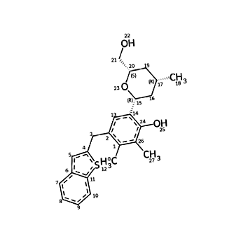 Cc1c(Cc2cc3ccccc3s2)cc([C@H]2C[C@@H](C)C[C@@H](CO)O2)c(O)c1C